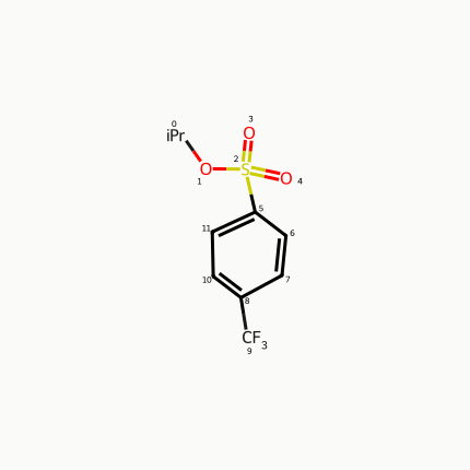 CC(C)OS(=O)(=O)c1ccc(C(F)(F)F)cc1